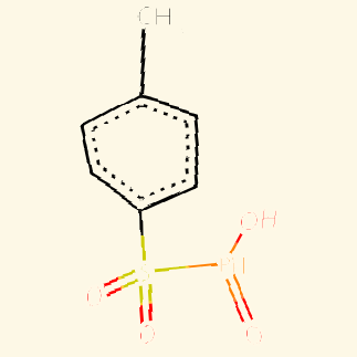 Cc1ccc(S(=O)(=O)[PH](=O)O)cc1